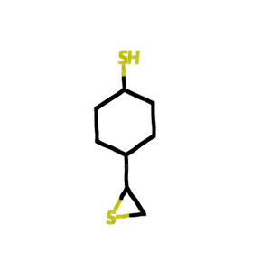 SC1CCC(C2CS2)CC1